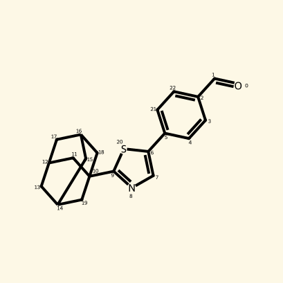 O=Cc1ccc(-c2cnc(C34CC5CC(CC(C5)C3)C4)s2)cc1